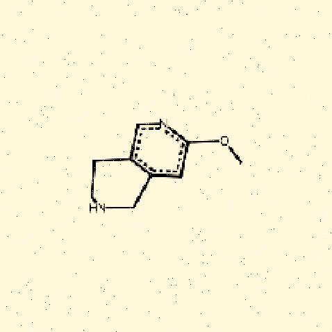 COc1cc2c(cn1)CCNC2